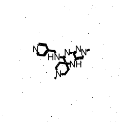 CN1CCC2(CC1)Nc1cn(C)nc1N=C2NCc1ccncc1